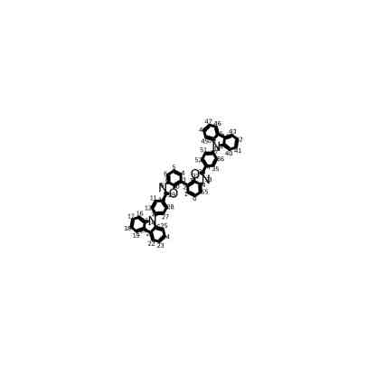 c1cc(-c2cccc3nc(-c4ccc(-n5c6ccccc6c6ccccc65)cc4)oc23)c2oc(-c3ccc(-n4c5ccccc5c5ccccc54)cc3)nc2c1